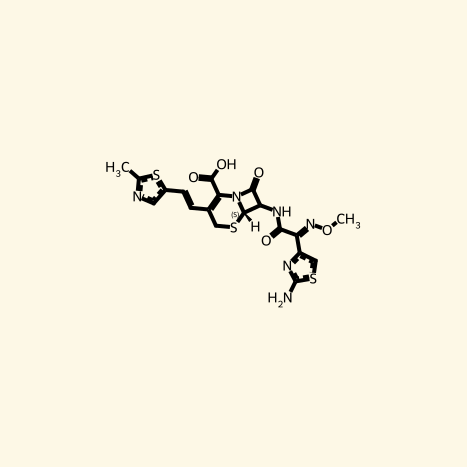 CON=C(C(=O)NC1C(=O)N2C(C(=O)O)=C(C=Cc3cnc(C)s3)CS[C@@H]12)c1csc(N)n1